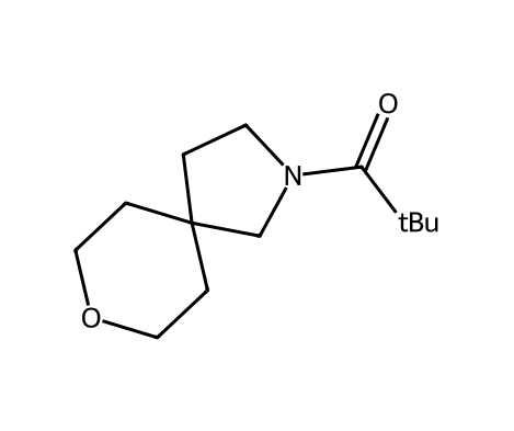 CC(C)(C)C(=O)N1CCC2(CCOCC2)C1